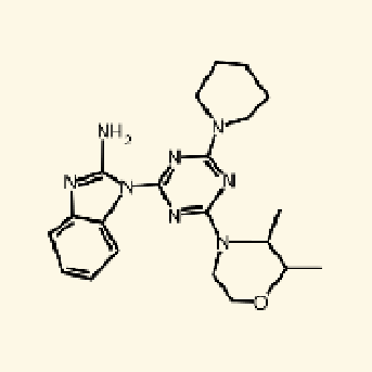 CC1OCCN(c2nc(N3CCCCC3)nc(-n3c(N)nc4ccccc43)n2)C1C